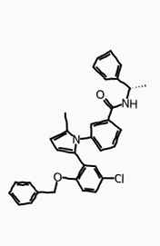 Cc1ccc(-c2cc(Cl)ccc2OCc2ccccc2)n1-c1cccc(C(=O)N[C@@H](C)c2ccccc2)c1